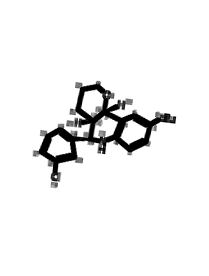 CC(C)(C)c1ccc2c(c1)[C@H]1OCCC[C@H]1[C@H](c1cccc(Cl)c1)N2